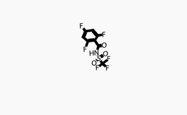 O=C(NS(=O)(=O)C(F)(F)F)c1c(F)cc(F)cc1F